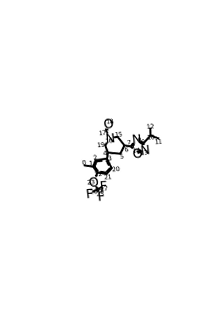 Cc1cc(C2CC(c3nc(C(C)C)no3)CN(C=O)C2)ccc1OC(F)(F)F